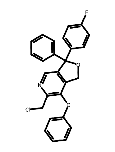 Fc1ccc(C2(c3ccccc3)OCc3c2cnc(CCl)c3Oc2ccccc2)cc1